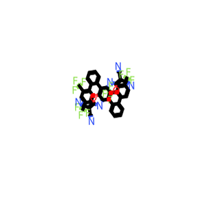 N#CC(C#N)=c1nc2c(-c3ccccc3-c3ccc(C(F)(F)F)cc3C(F)(F)F)c3oc(=C(C#N)C#N)nc3c(-c3ccccc3-c3ccc(C(F)(F)F)cc3C(F)(F)F)c2o1